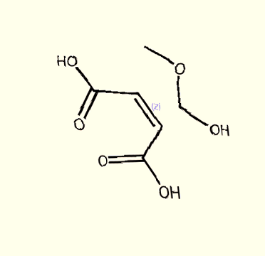 COCO.O=C(O)/C=C\C(=O)O